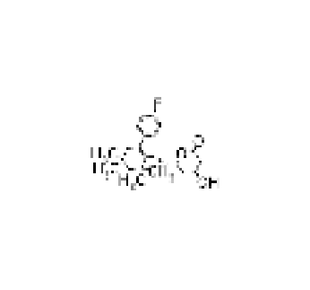 CC1(C)CC(c2ccc(F)cc2)=C(C=C[C@H]2C[C@H](O)CC(=O)O2)C(C)(C)C1